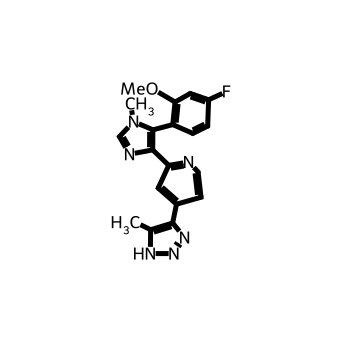 COc1cc(F)ccc1-c1c(-c2cc(-c3nn[nH]c3C)ccn2)ncn1C